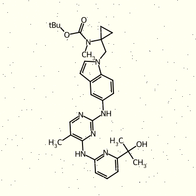 Cc1cnc(Nc2ccc3c(ccn3CC3(N(C)C(=O)OC(C)(C)C)CC3)c2)nc1Nc1cccc(C(C)(C)O)n1